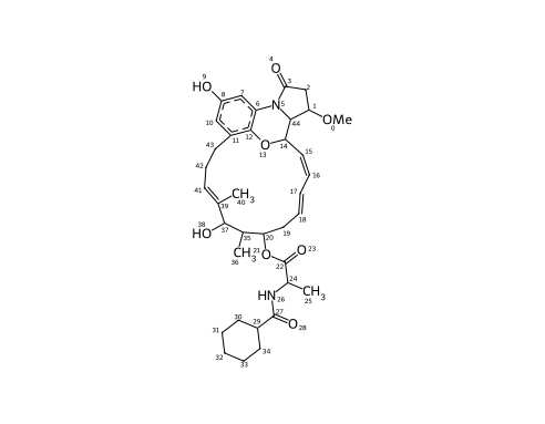 COC1CC(=O)N2c3cc(O)cc4c3OC(/C=C\C=C\CC(OC(=O)C(C)NC(=O)C3CCCCC3)C(C)C(O)/C(C)=C/CC4)C12